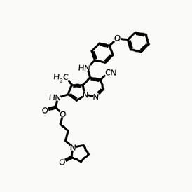 Cc1c(NC(=O)OCCCN2CCCC2=O)cn2ncc(C#N)c(Nc3ccc(Oc4ccccc4)cc3)c12